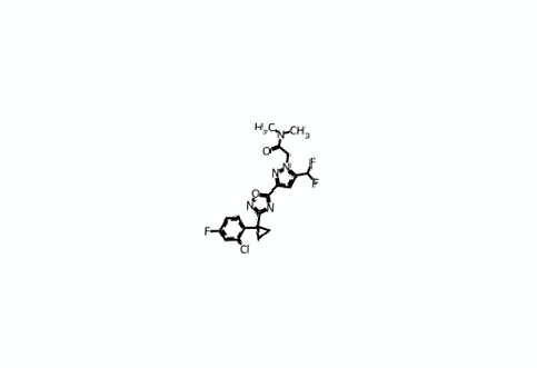 CN(C)C(=O)Cn1nc(-c2nc(C3(c4ccc(F)cc4Cl)CC3)no2)cc1C(F)F